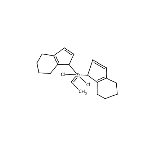 C[CH]=[Zr]([Cl])([Cl])([CH]1C=CC2=C1CCCC2)[CH]1C=CC2=C1CCCC2